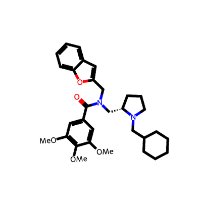 COc1cc(C(=O)N(Cc2cc3ccccc3o2)C[C@@H]2CCCN2CC2CCCCC2)cc(OC)c1OC